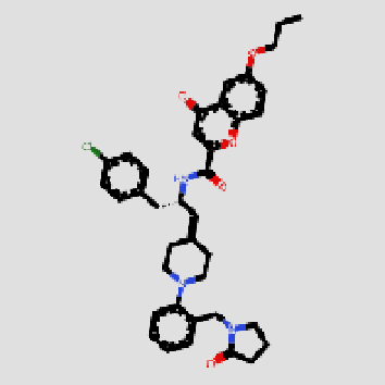 CCCOc1ccc2oc(C(=O)N[C@H](C=C3CCN(c4ccccc4CN4CCCC4=O)CC3)Cc3ccc(Cl)cc3)cc(=O)c2c1